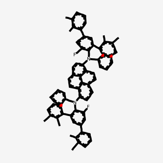 Cc1cccc(-c2cc(F)c(N(c3ccccc3)c3ccc4ccc5c(N(c6ccccc6)c6c(F)cc(-c7cccc(C)c7C)cc6-c6cccc(C)c6C)ccc6ccc3c4c65)c(-c3cccc(C)c3C)c2)c1C